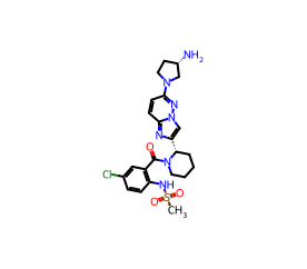 CS(=O)(=O)Nc1ccc(Cl)cc1C(=O)N1CCCC[C@H]1c1cn2nc(N3CC[C@H](N)C3)ccc2n1